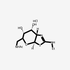 CCNC1=N[C@H]2[C@@H](O)[C@@H](O)C(CNC(C)=O)O[C@@H]2S1.Cl